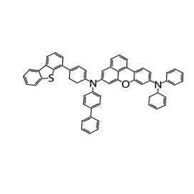 C1=CCC(N(c2ccccc2)c2ccc3c(c2)Oc2cc(N(C4=CC=C(c5cccc6c5sc5ccccc56)CC4)c4ccc(-c5ccccc5)cc4)cc4cccc-3c24)C=C1